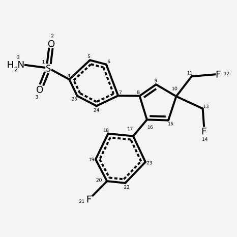 NS(=O)(=O)c1ccc(C2=CC(CF)(CF)C=C2c2ccc(F)cc2)cc1